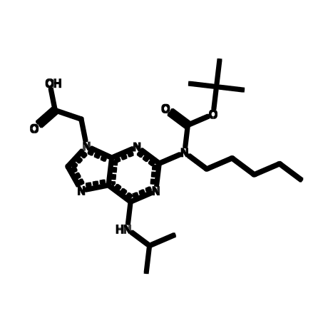 CCCCCN(C(=O)OC(C)(C)C)c1nc(NC(C)C)c2ncn(CC(=O)O)c2n1